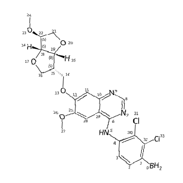 Bc1ccc(Nc2ncnc3cc(OC[C@@H]4CO[C@H]5[C@@H]4OC[C@@H]5OC)c(OC)cc23)c(Cl)c1Cl